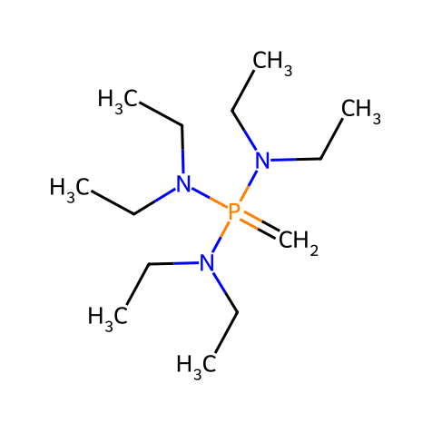 C=P(N(CC)CC)(N(CC)CC)N(CC)CC